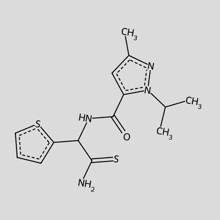 Cc1cc(C(=O)NC(C(N)=S)c2cccs2)n(C(C)C)n1